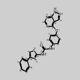 O=C(Nc1ccc(Oc2ncnc3[nH]ncc23)cc1)Nc1nc(-c2ccccc2)cs1